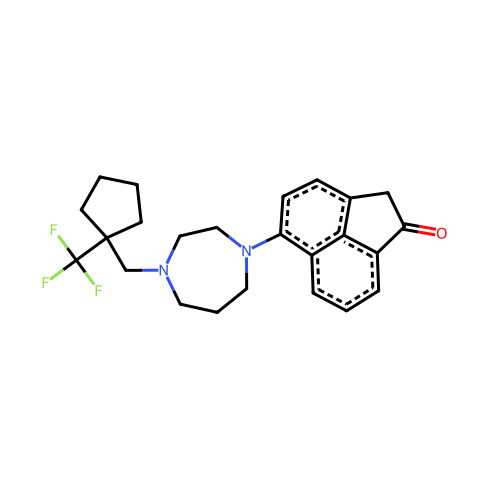 O=C1Cc2ccc(N3CCCN(CC4(C(F)(F)F)CCCC4)CC3)c3cccc1c23